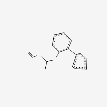 C=COC(C)Oc1ccccc1-c1ccccc1